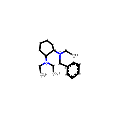 O=C(O)CN(CC(=O)O)C1CCCCC1N(CC(=O)O)Cc1ccccc1